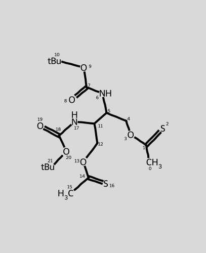 CC(=S)OCC(NC(=O)OC(C)(C)C)C(COC(C)=S)NC(=O)OC(C)(C)C